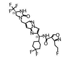 O=C(N[C@H](c1cn2ncc(CN3C[C@@H](C(F)(F)F)NC3=O)cc2n1)C1CCC(F)(F)CC1)c1conc1CCF